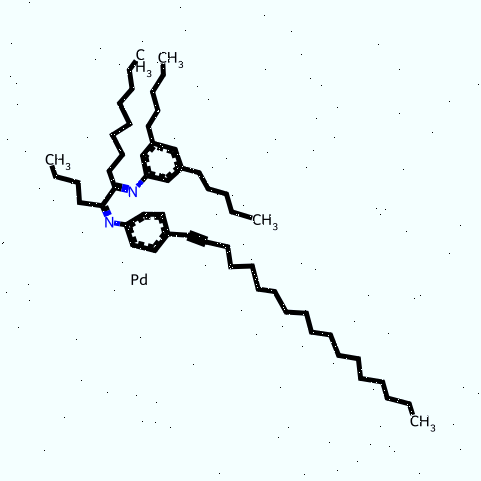 CCCCCCCCCCCCCCCCC#Cc1ccc(N=C(CCCC)C(CCCCCCCC)=Nc2cc(CCCCC)cc(CCCCC)c2)cc1.[Pd]